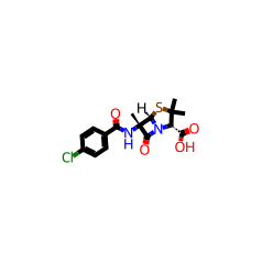 CC1(C)S[C@H]2N(C(=O)[C@]2(C)NC(=O)c2ccc(Cl)cc2)[C@H]1C(=O)O